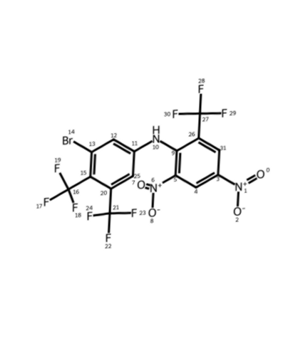 O=[N+]([O-])c1cc([N+](=O)[O-])c(Nc2cc(Br)c(C(F)(F)F)c(C(F)(F)F)c2)c(C(F)(F)F)c1